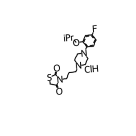 CC(C)Oc1cc(F)ccc1N1CCN(CCCN2C(=O)CSC2=O)CC1.Cl